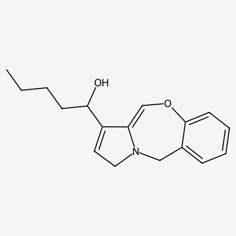 CCCCC(O)C1=CCN2Cc3ccccc3OC=C12